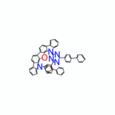 c1ccc(-c2ccc(-c3nc(-c4ccccc4)nc(-n4c5ccccc5c5ccc6c7ccc8c9ccccc9n(-c9ccc(-c%10ccccc%10)cc9)c8c7oc6c54)n3)cc2)cc1